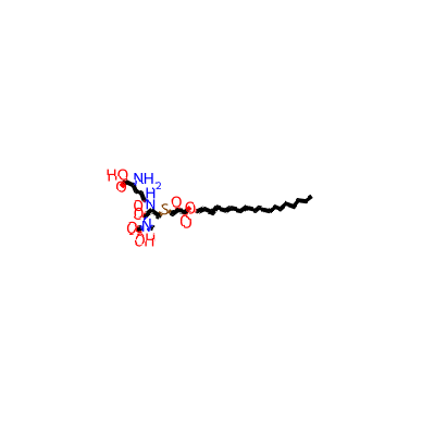 CCCCCCCCCCCCCCCCCCOC(=O)C(=O)CSCC(NC(=O)CCC(N)C(=O)O)C(=O)N(C)C(=O)O